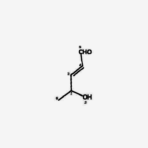 CC(O)C=CC=O